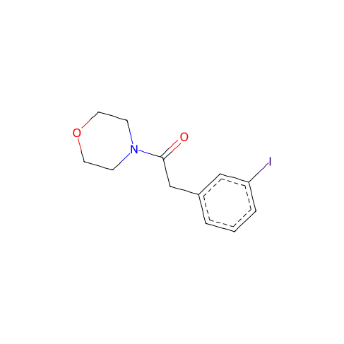 O=C(Cc1cccc(I)c1)N1CCOCC1